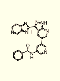 O=C(Nc1cncc(-c2cnc3[nH]nc(-c4nc5ccncc5[nH]4)c3c2)c1)c1ccccc1